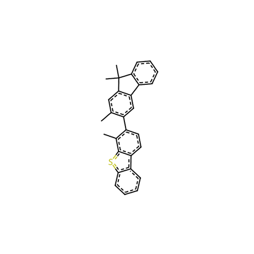 Cc1cc2c(cc1-c1ccc3c(sc4ccccc43)c1C)-c1ccccc1C2(C)C